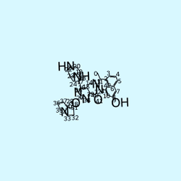 CCc1cccc2cc(O)cc(-n3ncc4c(C5=CC6CNCC(C5)N6)nc(OCC56CCCN5CCC6)nc4c3=O)c12